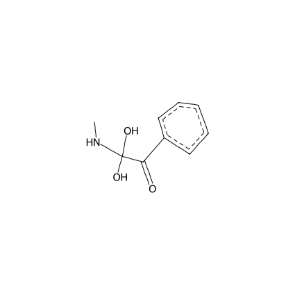 CNC(O)(O)C(=O)c1ccccc1